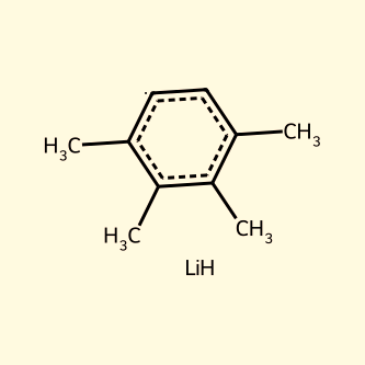 Cc1[c]cc(C)c(C)c1C.[LiH]